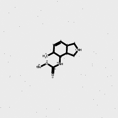 CC1C=CC2CNCC2C1NC(=O)OC(C)(C)C